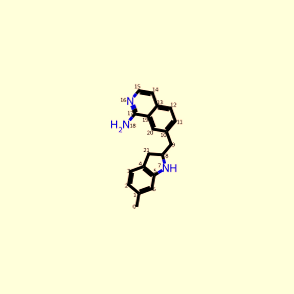 Cc1ccc2c(c1)NC(Cc1ccc3ccnc(N)c3c1)C2